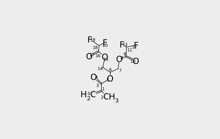 C=C(C)C(=O)OC(COC(=O)C(F)F)COC(=O)C(F)F